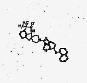 CC1(C)c2cccc3c2C(N[S+]1[O-])C1(CCN(c2nc4ccc(Sc5cccc6ccccc56)c5ncc2n45)CC1)C3